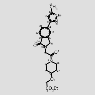 CCOC(=O)COC1CCN(C(=O)CN2Cc3cc(-c4cc(C)on4)ccc3C2=O)CC1